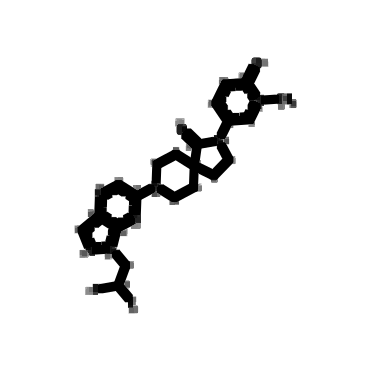 Cn1cc(N2CCC3(CCN(c4cnc5cnn(CC(F)F)c5n4)CC3)C2=O)ccc1=O